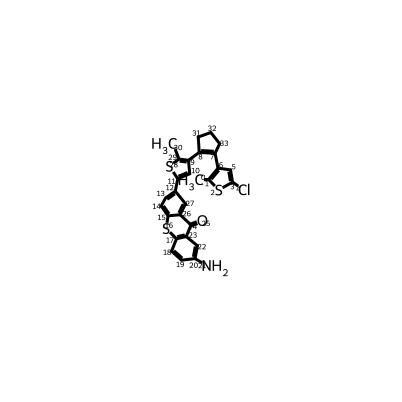 Cc1sc(Cl)cc1C1=C(c2cc(-c3ccc4sc5ccc(N)cc5c(=O)c4c3)sc2C)CCC1